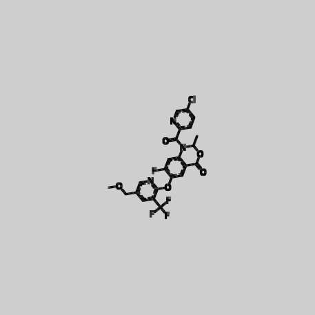 COCc1cnc(Oc2cc3c(cc2F)N(C(=O)c2ccc(Cl)cn2)C(C)OC3=O)c(C(F)(F)F)c1